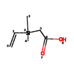 C=C[Si](C)(C)CC(=O)O